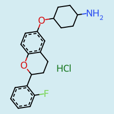 Cl.NC1CCC(Oc2ccc3c(c2)CCC(c2ccccc2F)O3)CC1